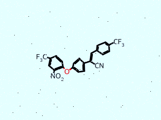 N#C/C(=C\c1ccc(C(F)(F)F)cc1)c1ccc(Oc2ccc(C(F)(F)F)cc2[N+](=O)[O-])cc1